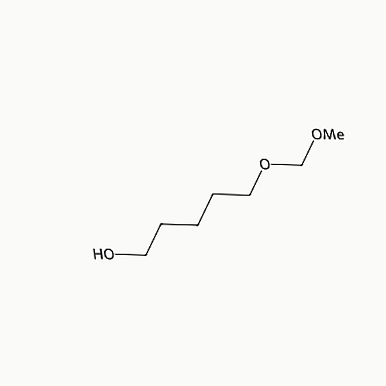 COCOCCCCCO